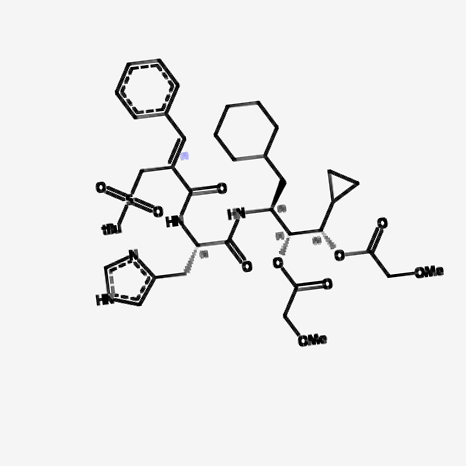 COCC(=O)O[C@H]([C@H](CC1CCCCC1)NC(=O)[C@H](Cc1c[nH]cn1)NC(=O)/C(=C/c1ccccc1)CS(=O)(=O)C(C)(C)C)[C@@H](OC(=O)COC)C1CC1